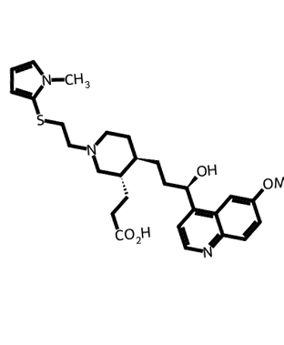 COc1ccc2nccc([C@H](O)CC[C@@H]3CCN(CCSc4cccn4C)C[C@H]3CCC(=O)O)c2c1